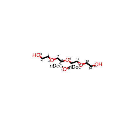 CCCCCCCCCCOCCCCCCCCCC.OCCOCCOCCOCCO